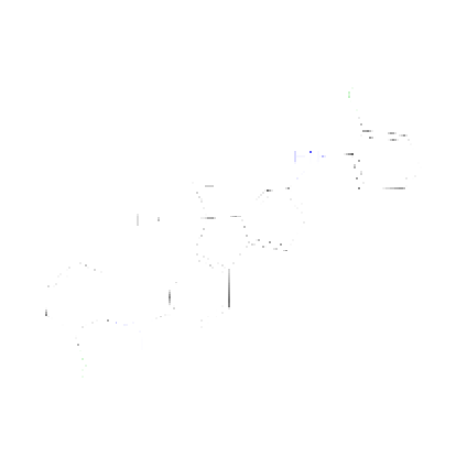 CC1(C)c2cc(NC3=CC=CCC3Cl)ccc2-c2ccc(Nc3ccccc3Cl)cc21